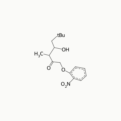 CC(C(=O)COc1ccccc1[N+](=O)[O-])C(O)CC(C)(C)C